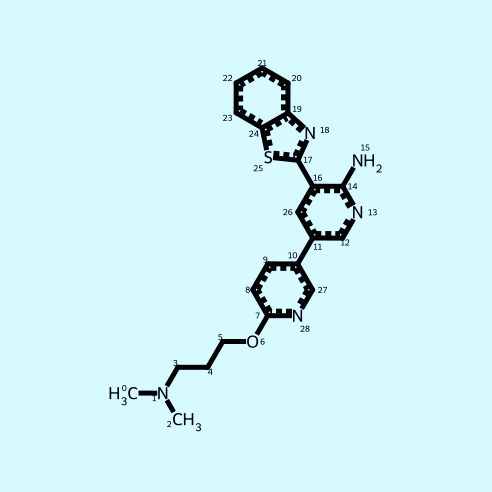 CN(C)CCCOc1ccc(-c2cnc(N)c(-c3nc4ccccc4s3)c2)cn1